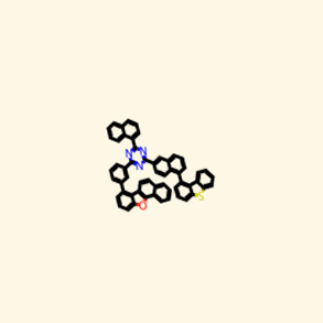 c1cc(-c2nc(-c3ccc4c(-c5cccc6sc7ccccc7c56)cccc4c3)nc(-c3cccc4ccccc34)n2)cc(-c2cccc3oc4c5ccccc5ccc4c23)c1